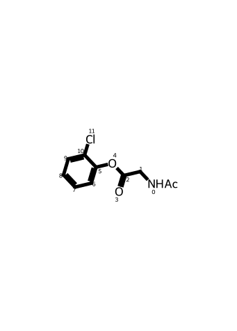 CC(=O)NCC(=O)Oc1ccccc1Cl